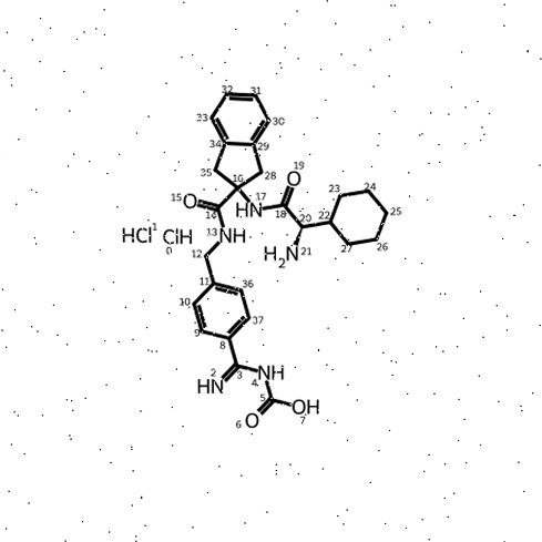 Cl.Cl.N=C(NC(=O)O)c1ccc(CNC(=O)C2(NC(=O)[C@H](N)C3CCCCC3)Cc3ccccc3C2)cc1